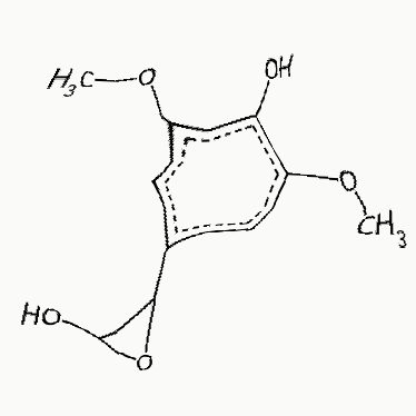 COc1cc(C2OC2O)cc(OC)c1O